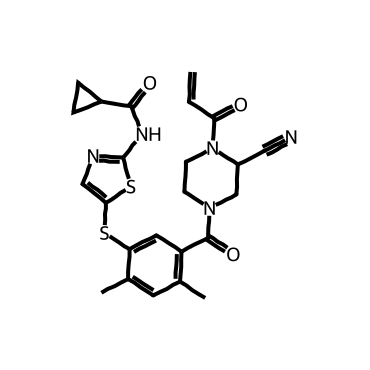 C=CC(=O)N1CCN(C(=O)c2cc(Sc3cnc(NC(=O)C4CC4)s3)c(C)cc2C)CC1C#N